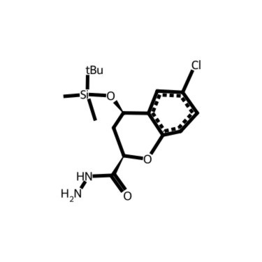 CC(C)(C)[Si](C)(C)O[C@@H]1C[C@H](C(=O)NN)Oc2ccc(Cl)cc21